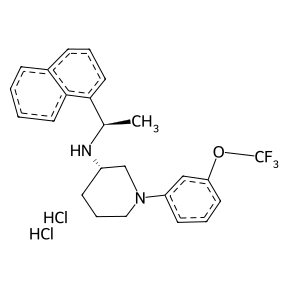 C[C@@H](N[C@H]1CCCN(c2cccc(OC(F)(F)F)c2)C1)c1cccc2ccccc12.Cl.Cl